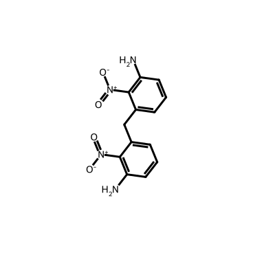 Nc1cccc(Cc2cccc(N)c2[N+](=O)[O-])c1[N+](=O)[O-]